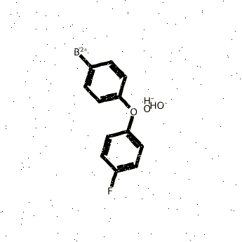 [B+2]c1ccc(Oc2ccc(F)cc2)cc1.[OH-].[OH-]